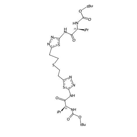 CC(C)[C@H](NC(=O)OC(C)(C)C)C(=O)Nc1nnc(CCSCCc2nnc(NC(=O)[C@@H](NC(=O)OC(C)(C)C)C(C)C)s2)s1